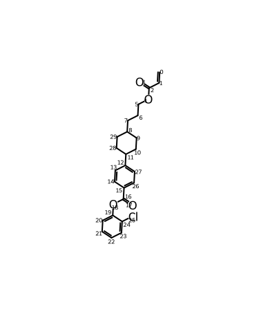 C=CC(=O)OCCCC1CCC(c2ccc(C(=O)Oc3ccccc3Cl)cc2)CC1